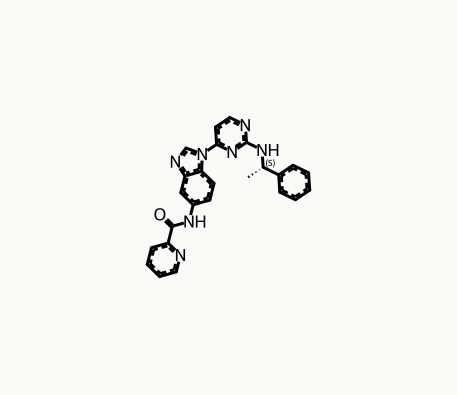 C[C@H](Nc1nccc(-n2cnc3cc(NC(=O)c4ccccn4)ccc32)n1)c1ccccc1